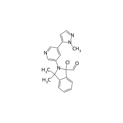 Cn1nccc1-c1cncc(N2C(C)(C)c3ccccc3C2(Cl)C=O)c1